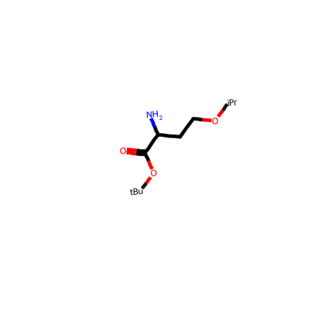 CC(C)OCCC(N)C(=O)OC(C)(C)C